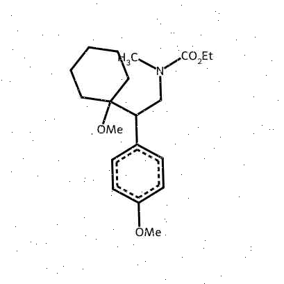 CCOC(=O)N(C)CC(c1ccc(OC)cc1)C1(OC)CCCCC1